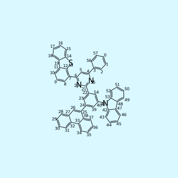 c1ccc(-c2cc(-c3cccc4c3sc3ccccc34)nc(-c3cc(-c4cc5ccccc5c5ccccc45)cc(-n4c5ccccc5c5ccccc54)c3)n2)cc1